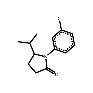 CC(C)C1CCC(=O)N1c1cccc(Cl)c1